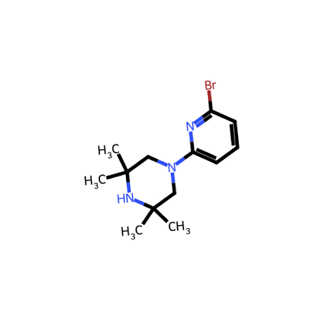 CC1(C)CN(c2cccc(Br)n2)CC(C)(C)N1